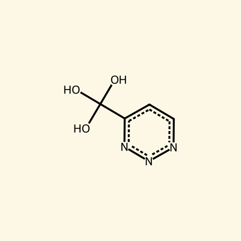 OC(O)(O)c1ccnnn1